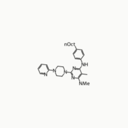 CCCCCCCCc1ccc(Nc2nc(N3CCN(c4ccccn4)CC3)nc(NC)c2C)cc1